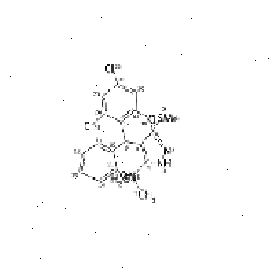 CSc1n[nH]c(N(C)C)c1C(c1ccccc1O)c1c(Cl)cc(Cl)cc1Cl